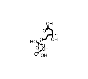 C[C@](O)(CCOP(=O)(O)OP(=O)(O)O)CC(=O)O